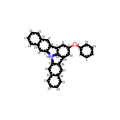 c1ccc(Oc2cc3c4cc5ccccc5cc4n4c5cc6ccccc6cc5c(c2)c34)cc1